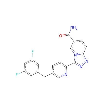 NC(=O)c1ccc2nnc(-c3ccc(Cc4cc(F)cc(F)c4)cn3)n2c1